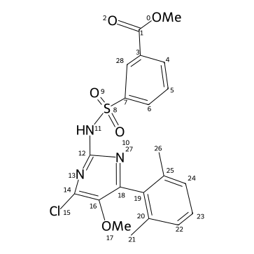 COC(=O)c1cccc(S(=O)(=O)Nc2nc(Cl)c(OC)c(-c3c(C)cccc3C)n2)c1